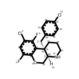 Fc1cc(Cl)c(F)c2c1OC[C@@H]1NCCC[C@]21Cc1ccc(Cl)cc1